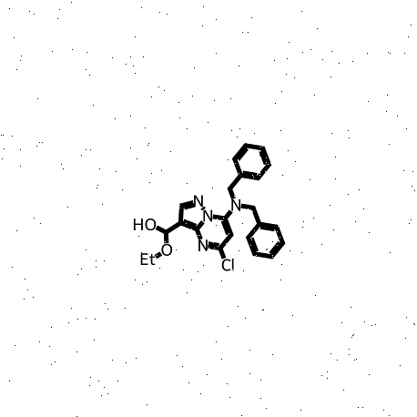 CCOC(O)c1cnn2c(N(Cc3ccccc3)Cc3ccccc3)cc(Cl)nc12